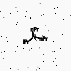 CCCN(CCC)C(C)C